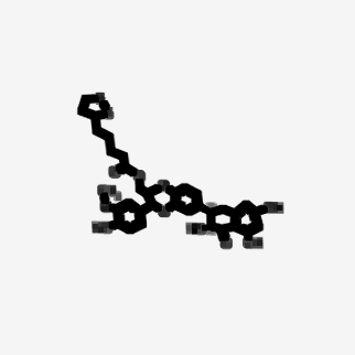 COc1cc(C2Oc3cc([C@H]4Cc5cc(O)cc(O)c5C(=O)[C@@H]4O)ccc3OC2COC(=O)CCCCC2CCSS2)ccc1O